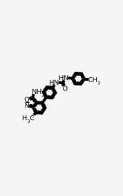 Cc1ccc(NC(=O)Nc2ccc(-c3ccc(C)c4noc(N)c34)cc2)cc1